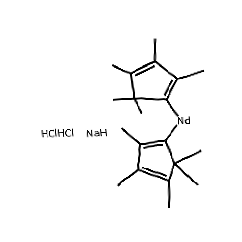 CC1=C(C)C(C)(C)[C]([Nd][C]2=C(C)C(C)=C(C)C2(C)C)=C1C.Cl.Cl.[NaH]